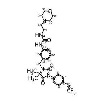 CC1(C)C(=O)N(c2ccc(SC(F)(F)F)cc2)C(=O)N1Cc1ccnc(NC(=O)NCCN2CCOCC2)c1